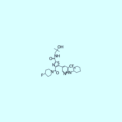 CC(C)(O)CNC(=O)c1nc(C(=O)N2CCC(F)CC2)c(-c2cnc(NC3CCCCC3)c(C(F)(F)F)c2)s1